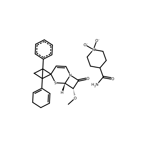 CO[C@H]1C(=O)N2C=CC3(S[C@@H]12)C1(C2=CCCC=C2)CC31c1ccccc1.NC(=O)C1CC[N+]([O-])([O-])CC1